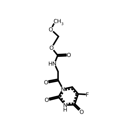 COCOC(=O)NCC(=O)n1cc(F)c(=O)[nH]c1=O